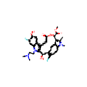 COC(=O)Cc1c(C)n(C)c2cc(F)c(C(O)c3c(CC(=O)O)c4cc(O)c(F)cc4n3CCN(C)C)cc12